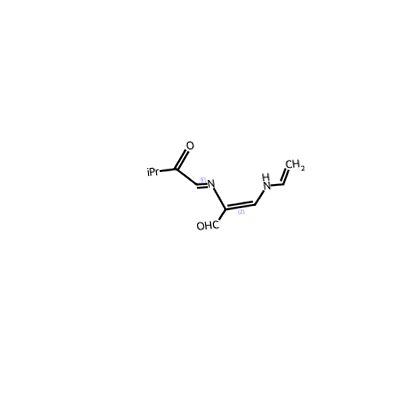 C=CN/C=C(C=O)\N=C\C(=O)C(C)C